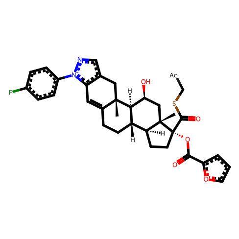 CC(=O)CSC(=O)[C@@]1(OC(=O)c2ccco2)CC[C@H]2[C@@H]3CCC4=Cc5c(cnn5-c5ccc(F)cc5)C[C@]4(C)[C@H]3[C@@H](O)C[C@@]21C